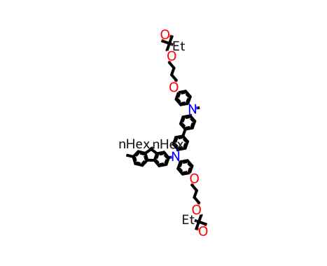 CCCCCCC1(CCCCCC)c2cc(C)ccc2-c2ccc(N(c3ccc(OCCCCOCC4(CC)COC4)cc3)c3ccc(-c4ccc(N(C)c5ccc(OCCCCOCC6(CC)COC6)cc5)cc4)cc3)cc21